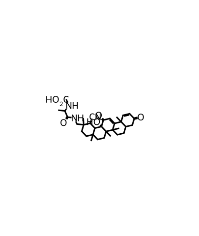 CC(NC(=O)O)C(=O)NCC1(C)CCC2(C)CCC3(C)C4(C)CCC5CC(=O)C=CC5(C)C4=CC(=O)C3(O)C2C1C#N